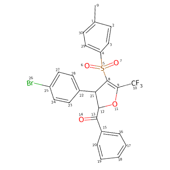 Cc1ccc(S(=O)(=O)C2=C(C(F)(F)F)OC(C(=O)c3ccccc3)C2c2ccc(Br)cc2)cc1